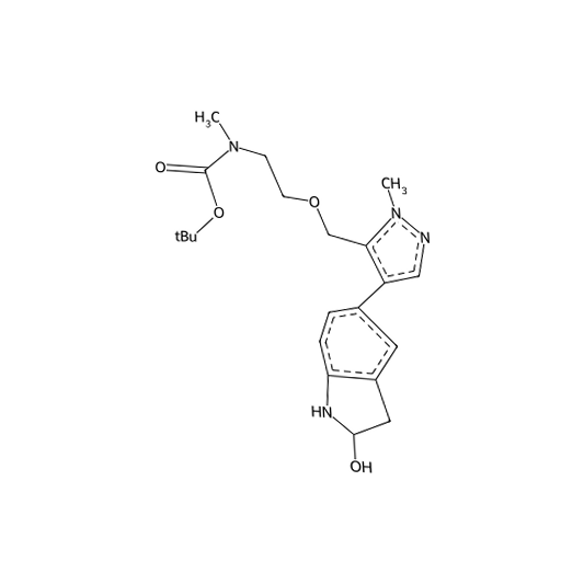 CN(CCOCc1c(-c2ccc3c(c2)CC(O)N3)cnn1C)C(=O)OC(C)(C)C